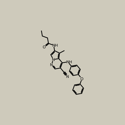 CCCC(=O)Nc1cn2ncc(C#N)c(Nc3ccc(Oc4ccccc4)cc3)c2c1C